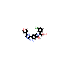 Nc1ncc(C2CCOCC2)nc1-c1ccc2c(c1)CN(C(CO)c1cccc(Cl)c1)C2=O